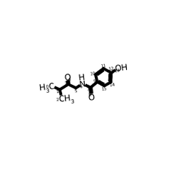 CC(C)C(=O)CNC(=O)c1ccc(O)cc1